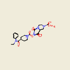 CCN(C(=O)C1CCN(C(=O)ON2C(=O)C3CN(C(=O)O)CCN3C2=O)CC1)c1ccccc1